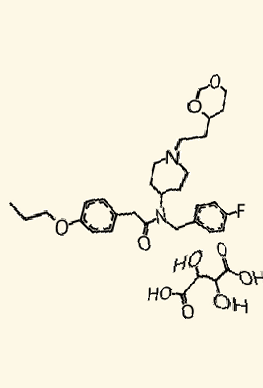 CCCOc1ccc(CC(=O)N(Cc2ccc(F)cc2)C2CCN(CCC3CCOCO3)CC2)cc1.O=C(O)C(O)C(O)C(=O)O